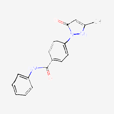 Cc1cc(=O)n(-c2ccc(C(=O)Nc3ccccc3)cc2)[nH]1